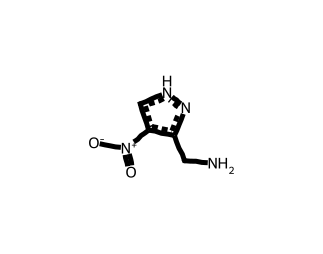 NCc1n[nH]cc1[N+](=O)[O-]